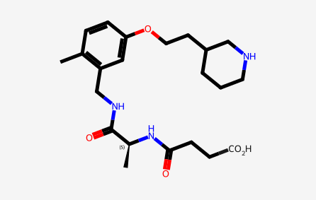 Cc1ccc(OCCC2CCCNC2)cc1CNC(=O)[C@H](C)NC(=O)CCC(=O)O